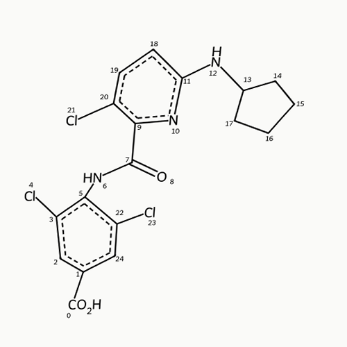 O=C(O)c1cc(Cl)c(NC(=O)c2nc(NC3CCCC3)ccc2Cl)c(Cl)c1